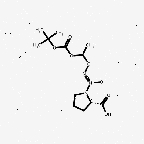 CC(ON=[N+]([O-])N1CCC[C@H]1C(=O)O)OC(=O)OC(C)(C)C